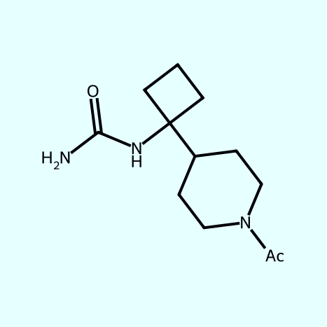 CC(=O)N1CCC(C2(NC(N)=O)CCC2)CC1